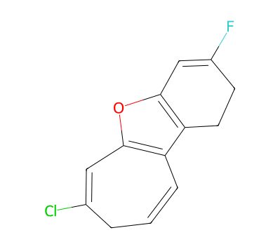 FC1=Cc2oc3c(c2CC1)C=CCC(Cl)=C3